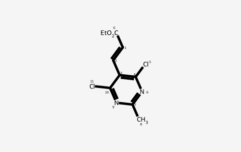 CCOC(=O)/C=C/c1c(Cl)nc(C)nc1Cl